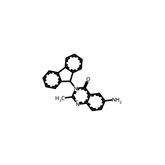 Cc1nc2ccc(N)cc2c(=O)n1C1c2ccccc2-c2ccccc21